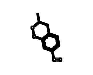 CC1Cc2ccc(C=O)cc2OO1